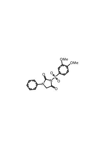 COc1ccc(S(=O)(=O)N2C(=O)CN(c3ccccc3)C2=O)cc1OC